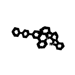 c1ccc(-c2ccc(-c3cccc(-c4ccccc4-n4c5ccccc5c5ccc6c7ccccc7[nH]c6c54)c3)cc2)cc1